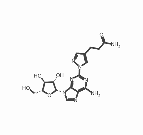 NC(=O)CCc1cnn(-c2nc(N)c3ncn([C@@H]4O[C@H](CO)[C@@H](O)[C@@H]4O)c3n2)c1